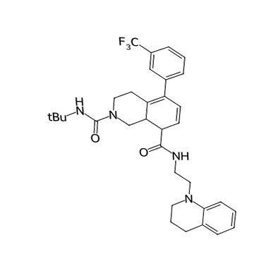 CC(C)(C)NC(=O)N1CCC2=C(c3cccc(C(F)(F)F)c3)C=CC(C(=O)NCCN3CCCc4ccccc43)C2C1